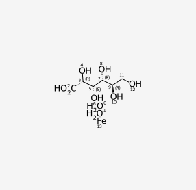 O.O.O=C(O)[C@H](O)[C@@H](O)[C@H](O)[C@H](O)CO.[Fe]